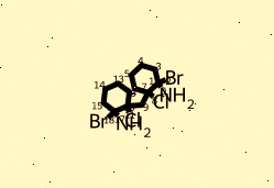 NC1(Br)CCCCC1(Cl)CC1(Cl)CCCCC1(N)Br